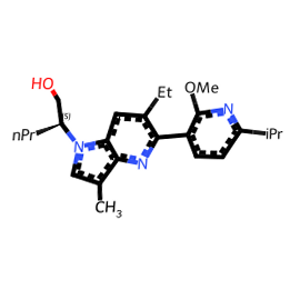 CCC[C@@H](CO)n1cc(C)c2nc(-c3ccc(C(C)C)nc3OC)c(CC)cc21